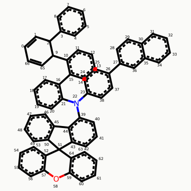 C1=CC(c2ccccc2)C(c2ccccc2-c2ccccc2N(c2ccc(-c3ccc4ccccc4c3)cc2)c2cccc3c2-c2ccccc2C32c3ccccc3Oc3ccccc32)C=C1